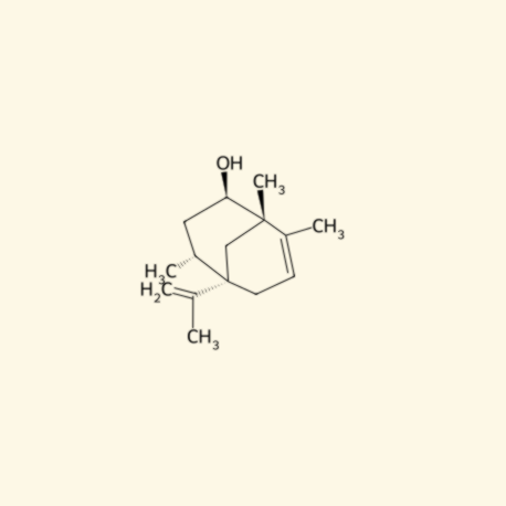 C=C(C)[C@@]12CC=C(C)[C@](C)(C1)[C@H](O)C[C@H]2C